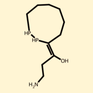 NCCC(O)=C1CCCCCCPP1